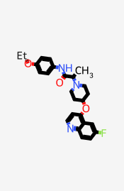 CCOc1ccc(NC(=O)C(C)N2CCC(Oc3ccnc4ccc(F)cc34)CC2)cc1